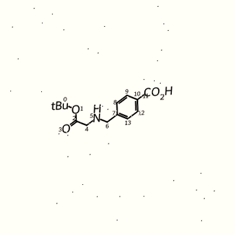 CC(C)(C)OC(=O)CNCc1ccc(C(=O)O)cc1